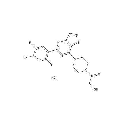 Cl.O=C(CO)N1CCN(c2nc(-c3cc(F)c(Cl)cc3F)nc3ccsc23)CC1